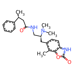 Cc1c(C[C@@H](CNC(=O)C[C@H](C)c2ccccc2)N(C)C)ccc2[nH]c(=O)oc12